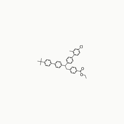 CCOC(=O)c1ccc(CC(c2ccc(-c3ccc(C(C)(C)C)cc3)cc2)c2ccc(-c3ccc(Cl)cc3C)cc2)cc1